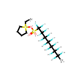 CC(=O)CS1(OS(=O)(=O)C(F)(F)C(F)(F)C(F)(F)C(F)(F)C(F)(F)C(F)(F)C(F)(F)C(F)(F)F)CCCC1